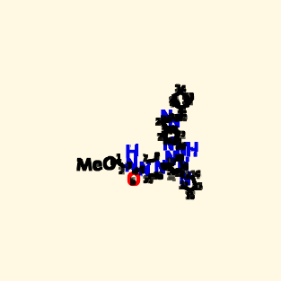 COCCNC(=O)N1CCN(c2cc(N3CCCC3)nc(Nc3cc4c(cn3)cnn4CC3CCCCC3)n2)CC1